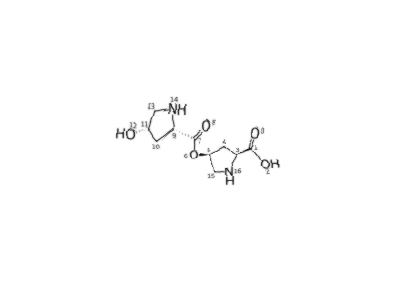 O=C(O)[C@@H]1C[C@H](OC(=O)[C@@H]2C[C@H](O)CN2)CN1